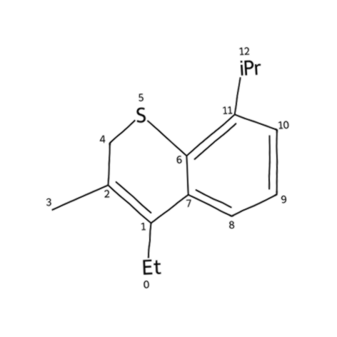 CCC1=C(C)CSc2c1cccc2C(C)C